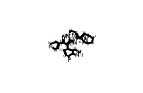 CCOC(=O)N1C2CCC1CC(c1ccn3nc(-c4ccncc4)c(-c4ccc(F)c5[nH]ncc45)c3n1)C2